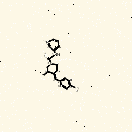 CC1CN(C(=O)Nc2cccnc2)CC/C1=C\c1ccc(Cl)cc1